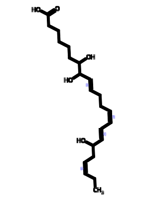 CC/C=C\CC(O)/C=C/C=C\CC/C=C/C(O)C(O)CCCCCC(=O)O